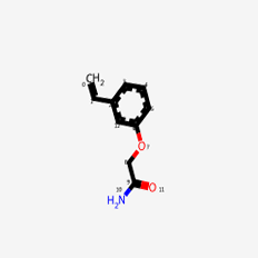 C=Cc1cccc(OCC(N)=O)c1